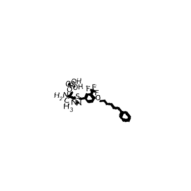 CC(N)(COP(=O)(O)O)c1nnc(-c2ccc(OCCCCCCc3ccccc3)c(C(F)(F)F)c2)s1